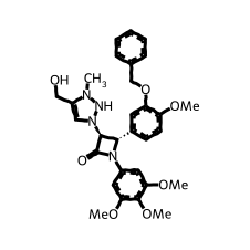 COc1ccc([C@H]2[C@H](N3C=C(CO)N(C)N3)C(=O)N2c2cc(OC)c(OC)c(OC)c2)cc1OCc1ccccc1